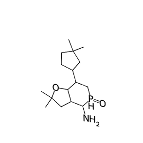 CC1(C)CCC(C2C[PH](=O)C(N)C3CC(C)(C)OC23)C1